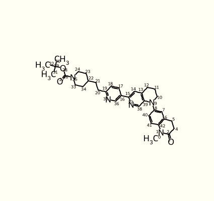 CN1C(=O)CCc2cc(N3CCCc4cc(-c5ccc(CCC6CCN(C(=O)OC(C)(C)C)CC6)nc5)ncc43)ccc21